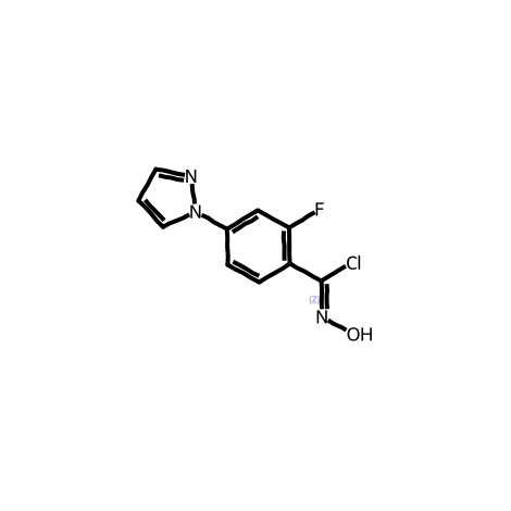 O/N=C(\Cl)c1ccc(-n2cccn2)cc1F